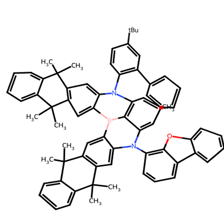 Cc1cc2c3c(c1)N(c1cccc4c1oc1ccccc14)c1cc4c(cc1B3c1cc3c(cc1N2c1ccc(C(C)(C)C)cc1-c1ccccc1)C(C)(C)c1ccccc1C3(C)C)C(C)(C)c1ccccc1C4(C)C